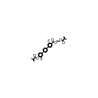 C=C(C)C(=O)OCCOC(=O)c1ccc(-c2ccc(-c3ccc(OC(=O)C(=C)C)c(F)c3)cc2)cc1F